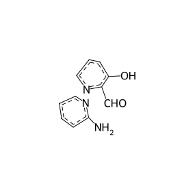 Nc1ccccn1.O=Cc1ncccc1O